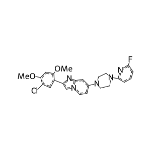 COc1cc(OC)c(-c2cn3ccc(N4CCN(c5cccc(F)n5)CC4)cc3n2)cc1Cl